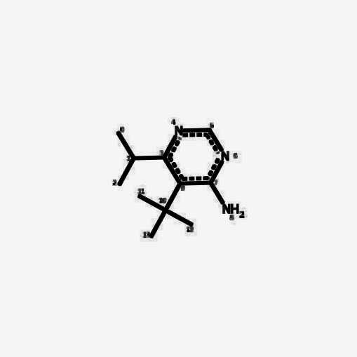 CC(C)c1ncnc(N)c1C(C)(C)C